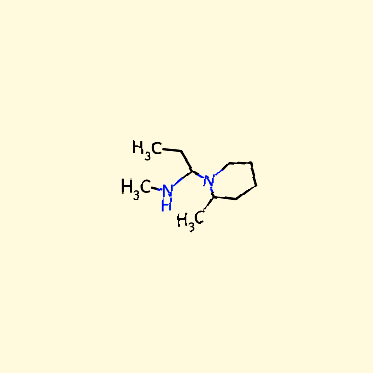 CCC(NC)N1CCCCC1C